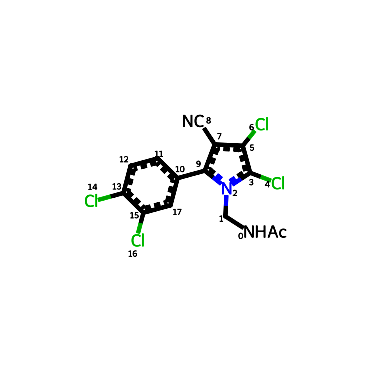 CC(=O)NCn1c(Cl)c(Cl)c(C#N)c1-c1ccc(Cl)c(Cl)c1